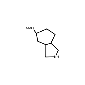 COC1CCC2CNCC2C1